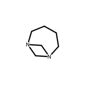 C1CCN2CN(C1)C2